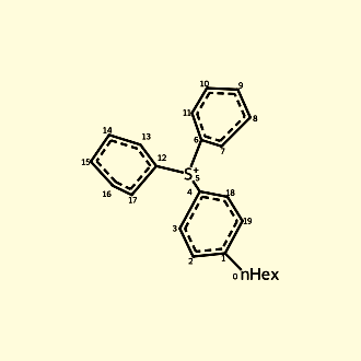 CCCCCCc1ccc([S+](c2ccccc2)c2ccccc2)cc1